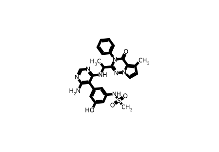 Cc1ccn2nc(C(C)Nc3ncnc(N)c3-c3cc(O)cc(NS(C)(=O)=O)c3)n(-c3ccccc3)c(=O)c12